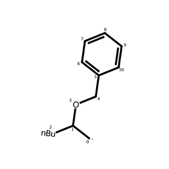 [CH2]C(CCCC)OCc1ccccc1